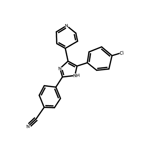 N#Cc1ccc(-c2nc(-c3ccncc3)c(-c3ccc(Cl)cc3)[nH]2)cc1